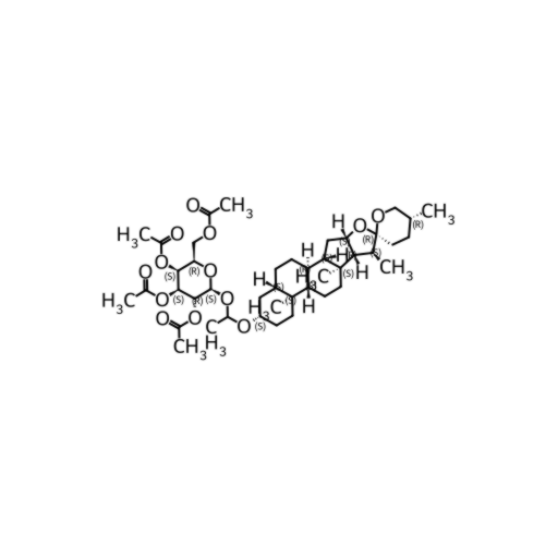 CC(=O)OC[C@H]1O[C@@H](OC(C)O[C@H]2CC[C@@]3(C)[C@@H](CC[C@@H]4[C@@H]3CC[C@]3(C)[C@@H]5[C@H](C[C@@H]43)O[C@]3(CC[C@@H](C)CO3)[C@H]5C)C2)[C@H](OC(C)=O)[C@@H](OC(C)=O)[C@H]1OC(C)=O